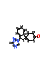 O=C1CCC(CCn2cncn2)(c2ccccc2)CC1